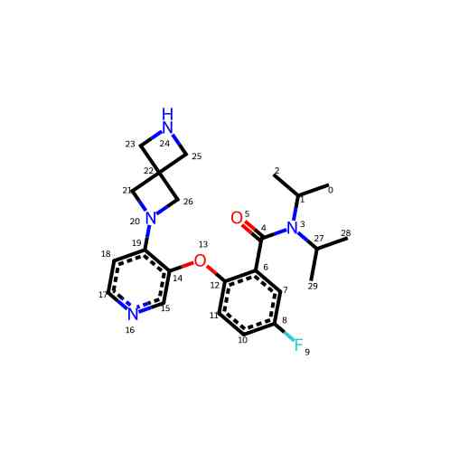 CC(C)N(C(=O)c1cc(F)ccc1Oc1cnccc1N1CC2(CNC2)C1)C(C)C